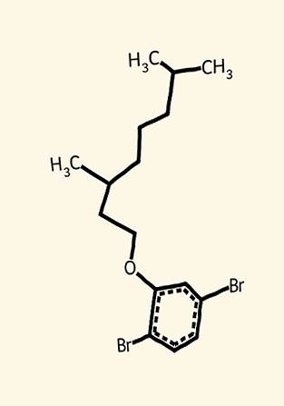 CC(C)CCCC(C)CCOc1cc(Br)ccc1Br